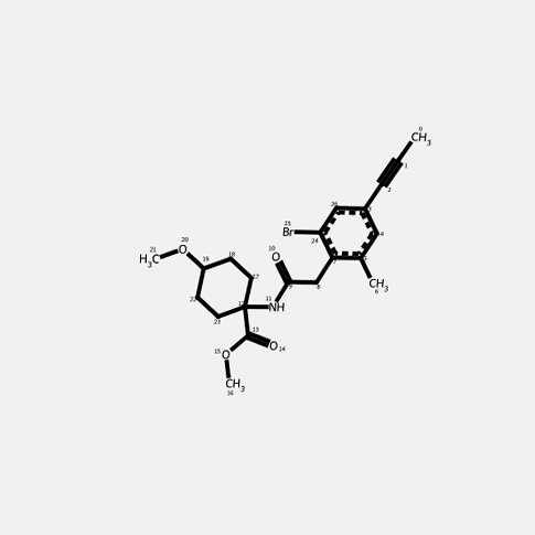 CC#Cc1cc(C)c(CC(=O)NC2(C(=O)OC)CCC(OC)CC2)c(Br)c1